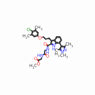 COC(=O)CNC(=O)CNC(=O)c1[nH]c2c(-c3c(C)nn(C)c3C)cccc2c1CCCOc1cc(C)c(Cl)c(C)c1